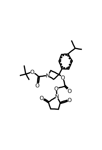 CC(C)c1ccc(C2(OC(=O)ON3C(=O)CCC3=O)CN(C(=O)OC(C)(C)C)C2)cc1